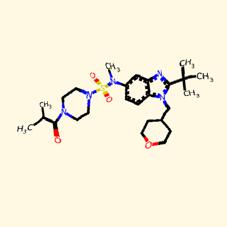 CC(C)C(=O)N1CCN(S(=O)(=O)N(C)c2ccc3c(c2)nc(C(C)(C)C)n3CC2CCOCC2)CC1